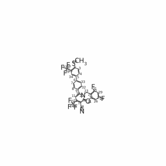 CSc1ccc(-c2ccc(-c3cc(C(F)(F)F)c(C#N)c(=O)n3Cc3ccc(F)cc3F)cc2)cc1C(F)(F)F